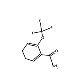 NC(=O)C1=CCCC=C1OC(F)(F)F